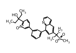 CCC(O)(CC)c1ccc(-c2cccc(-c3cc(C(C)(C)S(C)(=O)=O)cc4cccnc34)c2)c[n+]1[O-]